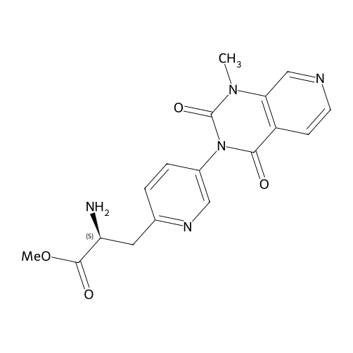 COC(=O)[C@@H](N)Cc1ccc(-n2c(=O)c3ccncc3n(C)c2=O)cn1